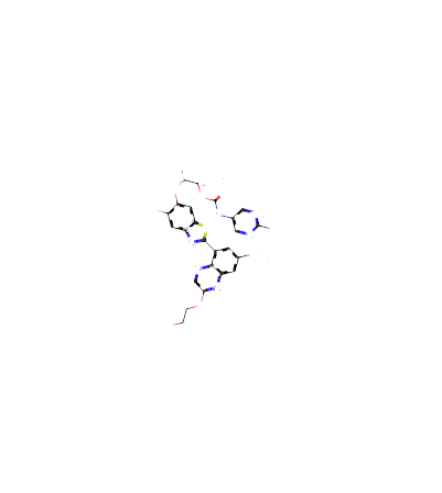 Cc1cc(-c2nc3cc(F)c(O[C@@H](C)[C@@H](C)OC(=O)Nc4cnc(C)nc4)cc3s2)c2ncc(OCCO)nc2c1